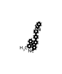 CC1C=CC(C2(c3ccccc3)c3cc(C#N)ccc3-c3ccc(-c4ccc(-c5ccn6c(c5)nc5c7ccccc7sc56)cc4)cc32)=CC1